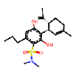 C=C(C)[C@@H]1CCC(C)=C[C@H]1c1c(O)cc(CCC)c(S(=O)(=O)N(C)C)c1O